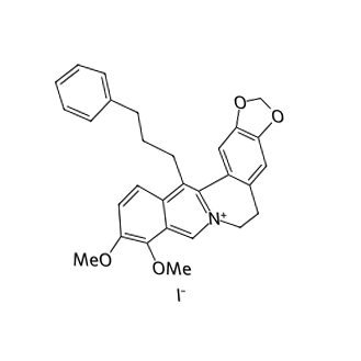 COc1ccc2c(CCCc3ccccc3)c3[n+](cc2c1OC)CCc1cc2c(cc1-3)OCO2.[I-]